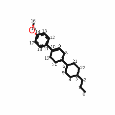 CCCC1CCC(C2CC=C(c3ccc(OC)cc3)CC2)CC1